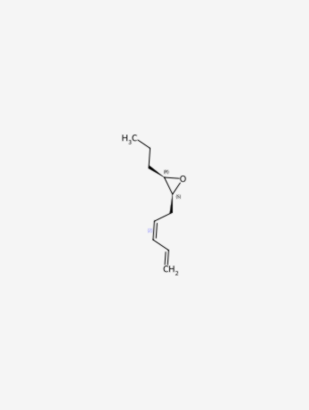 C=C/C=C\C[C@@H]1O[C@@H]1CCC